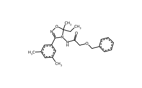 CCC1(C)ON=C(c2cc(C)cc(C)c2)N1NC(=O)COCc1ccccc1